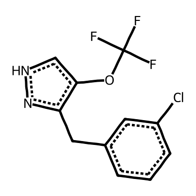 FC(F)(F)Oc1c[nH]nc1Cc1cccc(Cl)c1